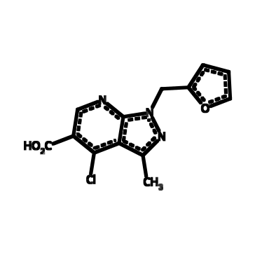 Cc1nn(Cc2ccco2)c2ncc(C(=O)O)c(Cl)c12